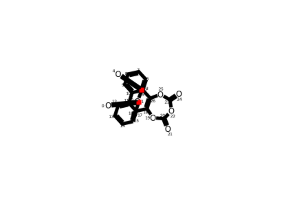 O=c1oc(=O)oc2cccc3c4cccc(o1)c4c1oc(=O)oc(=O)oc1c23